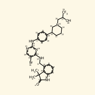 CC1(C)C(=O)Nc2cccc(CNc3nc(Nc4ccc(C5CCCN(CC(O)C(F)(F)F)C5)cc4)ncc3Br)c21